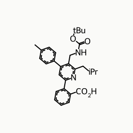 Cc1ccc(-c2cc(-c3ccccc3C(=O)O)nc(CC(C)C)c2CNC(=O)OC(C)(C)C)cc1